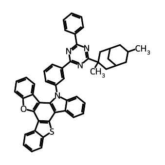 CC1CC2CC(C1)CC(C)(c1nc(-c3ccccc3)nc(-c3cccc(-n4c5ccccc5c5c6sc7ccccc7c6c6oc7ccccc7c6c54)c3)n1)C2